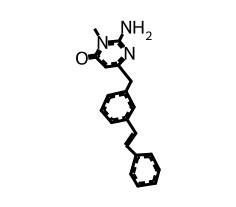 Cn1c(N)nc(Cc2cccc(C=Cc3ccccc3)c2)cc1=O